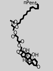 CCCCC/C=C\C/C=C\CCCCCCCC(=O)OC(COC(=O)CCC(=O)OCC(=O)[C@@]1(O)[C@H](C)C[C@H]2[C@@H]3CCC4=CC(=O)C=C[C@]4(C)[C@@]3(F)[C@@H](O)C[C@@]21C)CN(C)C